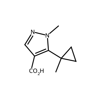 Cn1ncc(C(=O)O)c1C1(C)CC1